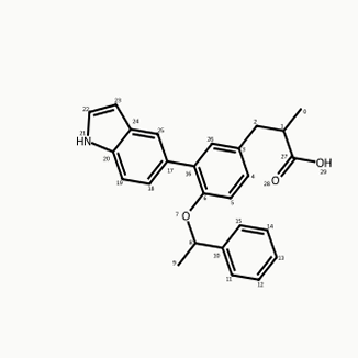 CC(Cc1ccc(OC(C)c2ccccc2)c(-c2ccc3[nH]ccc3c2)c1)C(=O)O